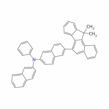 CC1(C)c2ccccc2-c2c(-c3ccc4cc(N(c5ccccc5)c5ccc6ccccc6c5)ccc4c3)cc3ccccc3c21